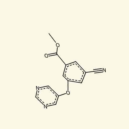 COC(=O)c1cc(C#N)cc(Oc2cncnc2)c1